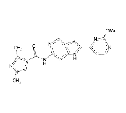 COc1nccc(-c2cc3cnc(NC(=O)c4cn(C)nc4C)cc3[nH]2)n1